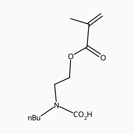 C=C(C)C(=O)OCCN(CCCC)C(=O)O